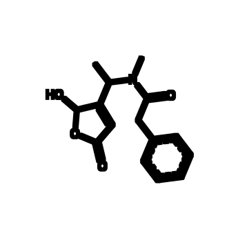 CC(C1=CC(=O)OC1O)N(C)C(=O)Cc1ccccc1